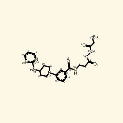 CC(C)(C)CC(=O)NOC(=O)CCNC(=O)c1cccc(N2CCC(Nc3ncccn3)CC2)c1